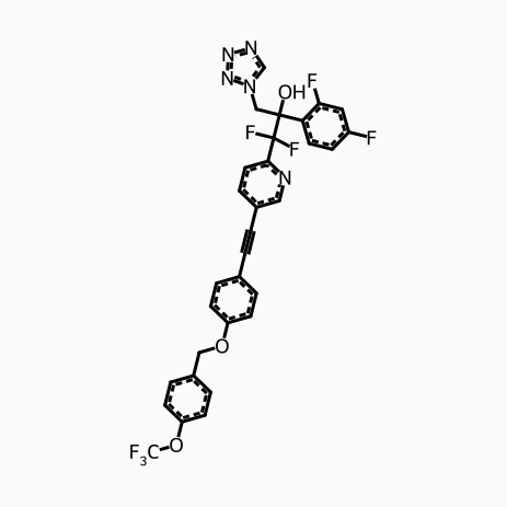 OC(Cn1cnnn1)(c1ccc(F)cc1F)C(F)(F)c1ccc(C#Cc2ccc(OCc3ccc(OC(F)(F)F)cc3)cc2)cn1